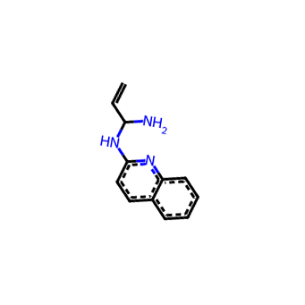 C=CC(N)Nc1ccc2ccccc2n1